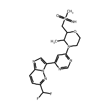 CC1C(CS(C)(=N)=O)OCCN1c1cc(-c2cnc3ccc(C(F)F)nn23)ncn1